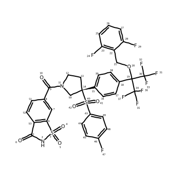 O=C1NS(=O)(=O)c2cc(C(=O)N3CC[C@](c4ccc(C(OCc5c(F)cccc5F)(C(F)(F)F)C(F)(F)F)cc4)(S(=O)(=O)c4ccc(F)cc4)C3)ccc21